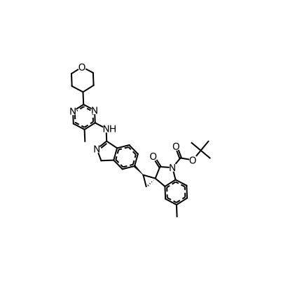 Cc1ccc2c(c1)[C@]1(C[C@H]1c1ccc3c(c1)CN=C3Nc1nc(C3CCOCC3)ncc1C)C(=O)N2C(=O)OC(C)(C)C